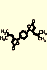 CC(C)=CC1=CC(=O)OC1N1CCN(C2OC(=O)C=C2C=C(C)C)CC1